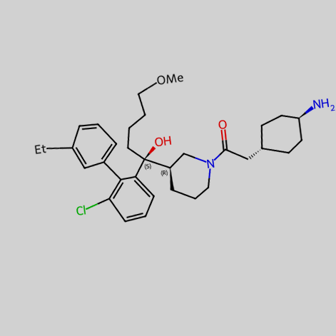 CCc1cccc(-c2c(Cl)cccc2[C@](O)(CCCCOC)[C@@H]2CCCN(C(=O)C[C@H]3CC[C@H](N)CC3)C2)c1